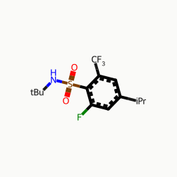 CC(C)c1cc(F)c(S(=O)(=O)NC(C)(C)C)c(C(F)(F)F)c1